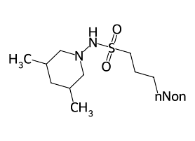 CCCCCCCCCCCCS(=O)(=O)NN1CC(C)CC(C)C1